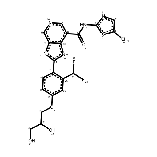 Cc1cnc(NC(=O)c2cncc3nc(-c4ccc(OCC(O)CO)cc4C(F)F)[nH]c23)s1